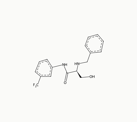 O=C(Nc1cccc(C(F)(F)F)c1)[C@H](CO)NCc1ccccc1